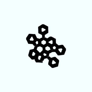 c1ccc(N2c3ccc4c5ccccc5n5c4c3C(c3c-5n(-c4ccccc4)c4ncncc34)c3c2c2ccccc2n3-c2ccccc2)cc1